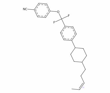 C/C=C\CCC1CCC(c2ccc(C(F)(F)Oc3ccc(C#N)cc3)cc2)CC1